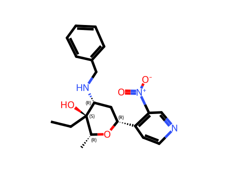 CC[C@]1(O)[C@H](NCc2ccccc2)C[C@H](c2ccncc2[N+](=O)[O-])O[C@@H]1C